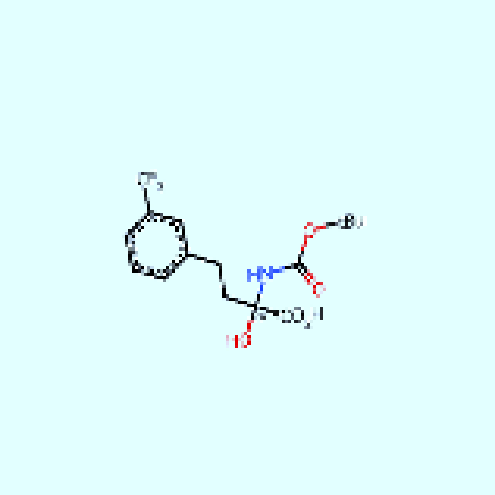 CC(C)(C)OC(=O)N[C@](O)(CCc1cccc(C(F)(F)F)c1)C(=O)O